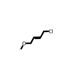 [CH2]OC/C=C/CCl